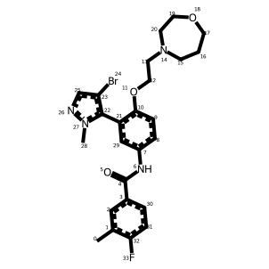 Cc1cc(C(=O)Nc2ccc(OCCN3CCCOCC3)c(-c3c(Br)cnn3C)c2)ccc1F